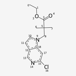 CCOC(=O)C(C)(C)Cn1ccc2cnc(Cl)cc21